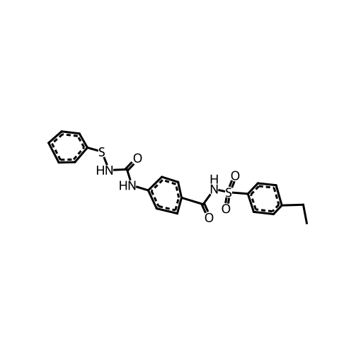 CCc1ccc(S(=O)(=O)NC(=O)c2ccc(NC(=O)NSc3ccccc3)cc2)cc1